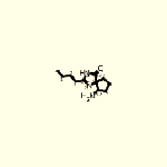 CCCCC1=NC2(CCCC2N)C(=O)N1